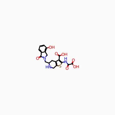 O=C(O)C(=O)Nc1sc2c(c1C(=O)O)CC(CN1Cc3c(O)cccc3C1=O)NC2